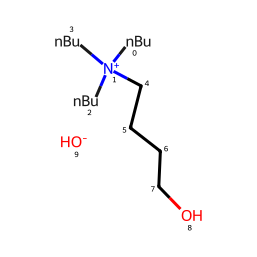 CCCC[N+](CCCC)(CCCC)CCCCO.[OH-]